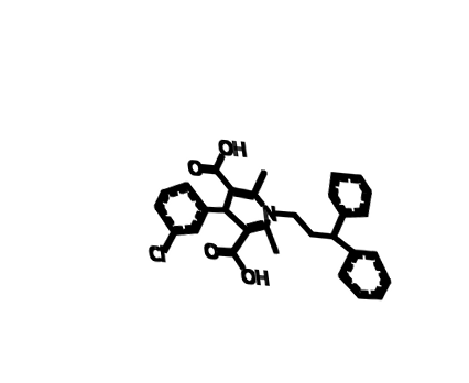 CC1=C(C(=O)O)C(c2cccc(Cl)c2)C(C(=O)O)=C(C)N1CCC(c1ccccc1)c1ccccc1